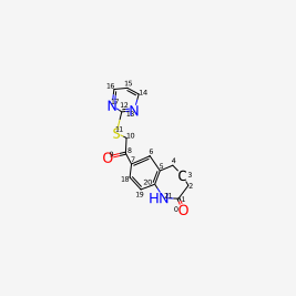 O=C1CCCc2cc(C(=O)CSc3ncccn3)ccc2N1